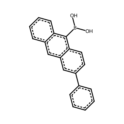 OB(O)c1c2ccccc2cc2cc(-c3ccccc3)ccc12